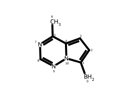 Bc1ccc2c(C)ncnn12